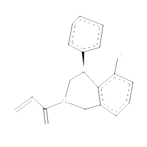 C=CC(=O)N1Cc2cccc(Cl)c2[C@H](c2ccccc2)C1